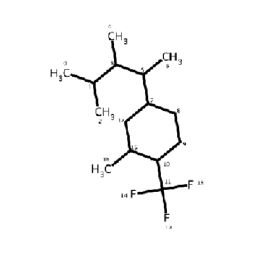 CC(C)C(C)C(C)C1CCC(C(F)(F)F)C(C)C1